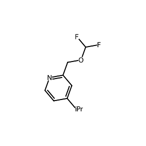 CC(C)c1ccnc(COC(F)F)c1